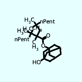 CCCCCC(C)(C)CC(C)(C(=O)OC12CC3CC(CC(O)(C3)C1)C2)C(C)(C)CCCCC